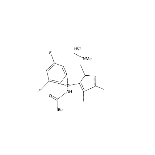 CC1=CC(C)[C]([Ti]2([NH]C(=O)C(C)(C)C)[c]3cc(F)cc(F)[c]32)=C1C.CNC.Cl